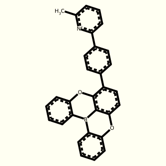 Cc1cccc(-c2ccc(-c3ccc4c5c3Oc3ccccc3B5c3ccccc3O4)cc2)n1